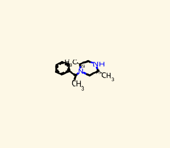 CC(c1ccccc1)N1C[C@@H](C)NC[C@@H]1C